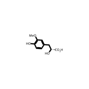 COc1cc(C[C@@H](O)C(=O)O)ccc1O